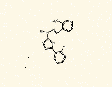 CCN(N=Cc1ccccc1C(=O)O)c1nc(-c2ccccc2Cl)cs1